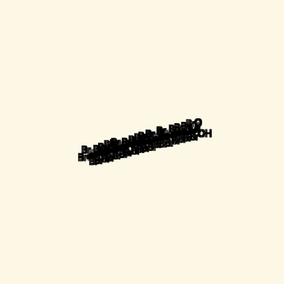 O=C(O)C(Br)(Br)C(Br)(Br)C(Br)(Br)C(Br)(Br)C(Br)(Br)C(Br)(Br)C(Br)(Br)C(Br)(Br)C(Br)(Br)C(Br)(Br)C(Br)(Br)C(Br)(Br)C(Br)(Br)C(Br)(Br)C(Br)(Br)C(Br)(Br)C(Br)(Br)C(Br)(Br)Br